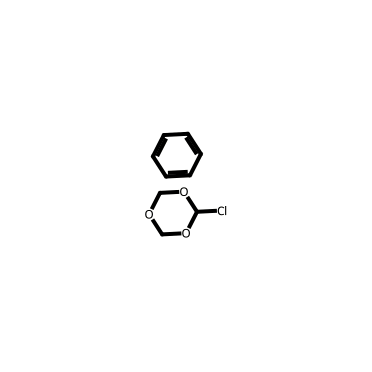 ClC1OCOCO1.c1ccccc1